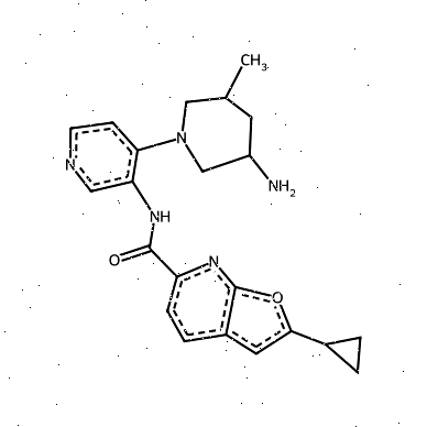 CC1CC(N)CN(c2ccncc2NC(=O)c2ccc3cc(C4CC4)oc3n2)C1